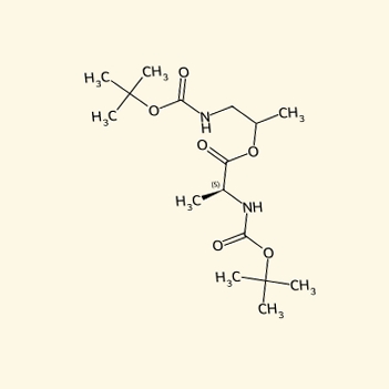 CC(CNC(=O)OC(C)(C)C)OC(=O)[C@H](C)NC(=O)OC(C)(C)C